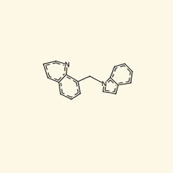 c1cnc2c(Cn3ccc4ccccc43)cccc2c1